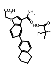 NC(=O)c1cn(CC(=O)O)c2ccc(-c3ccc4c(c3)CCCC4)cc12.O=C(O)C(F)(F)F